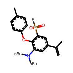 C=C(C)c1cc(N(CCCC)CCCC)c(Oc2ccc(C)cc2)c(S(=O)(=O)CC)c1